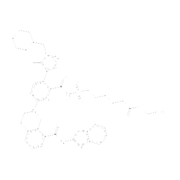 CCOC(=O)CCCCCS(=O)(=O)NC(=O)c1nc(N2CCc3cccc(C(=O)Nc4nc5ccccc5s4)c3C2)ccc1-c1cnn(CC2CCCCC2)c1C